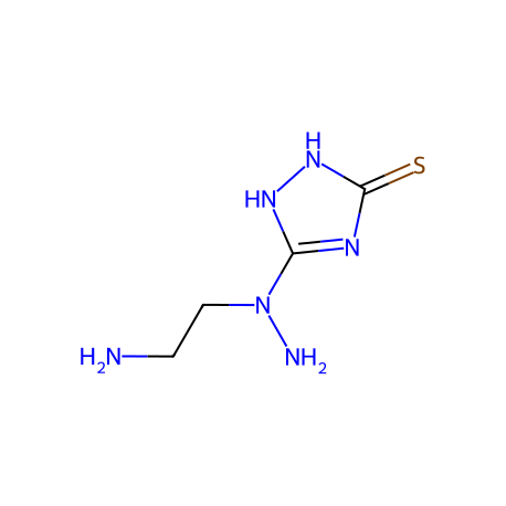 NCCN(N)c1nc(=S)[nH][nH]1